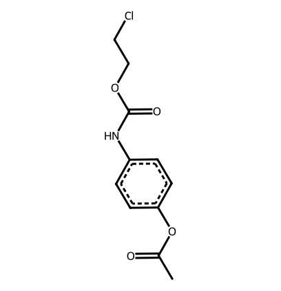 CC(=O)Oc1ccc(NC(=O)OCCCl)cc1